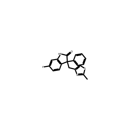 Cc1nc(CC2(c3ccccc3)C(=O)Nc3cc(F)ccc32)cs1